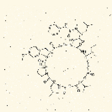 CC[C@H](C)[C@@H]1CCC(=O)O[C@@H](C(C)C)C(=O)[C@H](C)C(=O)N[C@@H](CC(C)C)C(=O)N2CCC[C@H]2C(=O)N(C)[C@@H](Cc2ccc(OC)cc2)C(=O)O[C@H](C)[C@H](NC(=O)[C@@H](CC(C)C)N(C)C(=O)Nc2ccccc2)C(=O)N1